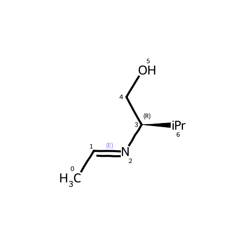 C/C=N/[C@@H](CO)C(C)C